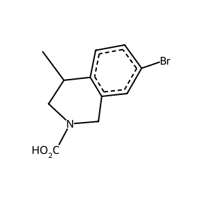 CC1CN(C(=O)O)Cc2cc(Br)ccc21